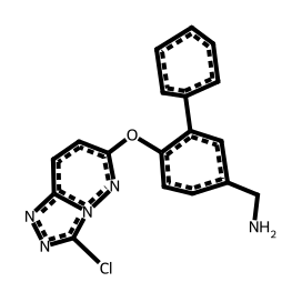 NCc1ccc(Oc2ccc3nnc(Cl)n3n2)c(-c2ccccc2)c1